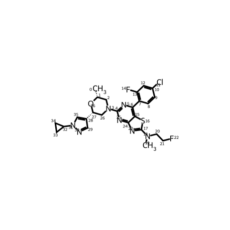 C[C@@H]1CN(c2nc(-c3ccc(Cl)cc3F)c3sc(N(C)CCF)nc3n2)C[C@H](c2cnn(C3CC3)c2)O1